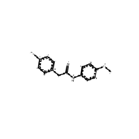 COc1ccc(NC(=O)Cc2ccc(F)cc2)cc1